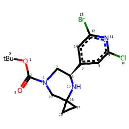 CC(C)(C)OC(=O)N1C[C@@H](c2cc(Cl)nc(Br)c2)NC2(CC2)C1